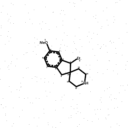 CCC1c2cc(OC)ccc2CC12CCNCC2